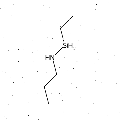 CCCN[SiH2]CC